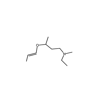 CC=COC(C)CCN(C)CC